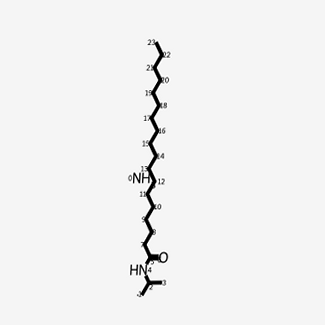 N.[CH2]C(C)NC(=O)CCCCCCCCCCCCCCCCC